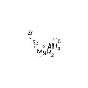 [AlH3].[MgH2].[Sc].[Ti].[Zr]